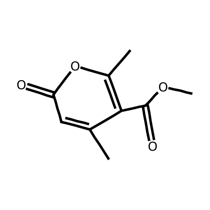 COC(=O)c1c(C)cc(=O)oc1C